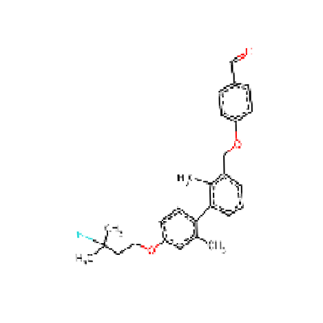 Cc1cc(OCCC(C)(C)F)ccc1-c1cccc(COc2ccc(C=O)cc2)c1C